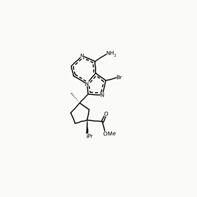 COC(=O)[C@]1(C(C)C)CC[C@@](C)(c2nc(Br)c3c(N)nccn23)C1